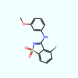 COc1cccc(NC2=NS(=O)(=O)c3cccc(F)c32)c1